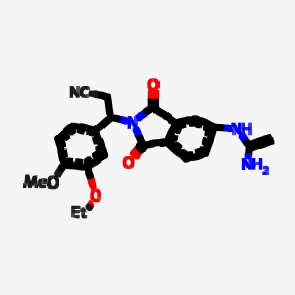 C=C(N)Nc1ccc2c(c1)C(=O)N(C(CC#N)c1ccc(OC)c(OCC)c1)C2=O